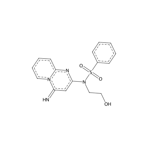 N=c1cc(N(CCO)S(=O)(=O)c2ccccc2)nc2ccccn12